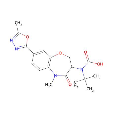 Cc1nnc(-c2ccc3c(c2)OCC(N(C(=O)O)C(C)(C)C)C(=O)N3C)o1